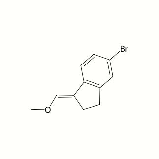 CO/C=C1\CCc2cc(Br)ccc21